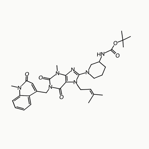 CC(C)=CCn1c(N2CCCC(NC(=O)OC(C)(C)C)C2)nc2c1c(=O)n(Cc1cc(=O)n(C)c3ccccc13)c(=O)n2C